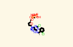 C[C@H](Nc1nc(Cl)nc2c1nnn2[C@H]1CC[C@@H](COP(=O)(O)CP(=O)(O)O)O1)c1ccccc1Cl